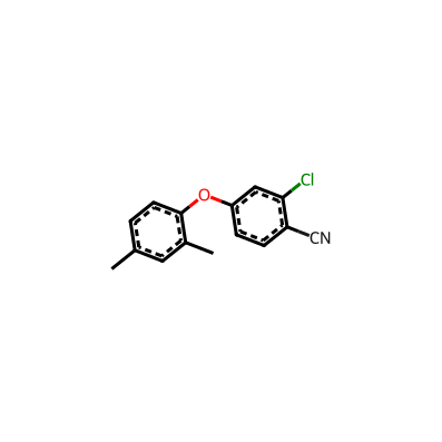 Cc1ccc(Oc2ccc(C#N)c(Cl)c2)c(C)c1